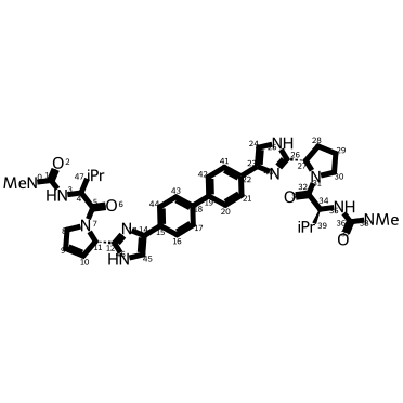 CNC(=O)NC(C(=O)N1CC=C[C@H]1c1nc(-c2ccc(-c3ccc(-c4c[nH]c([C@@H]5CCCN5C(=O)[C@@H](NC(=O)NC)C(C)C)n4)cc3)cc2)c[nH]1)C(C)C